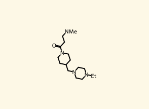 CCN1CCN(CC2CCN(C(=O)CCNC)CC2)CC1